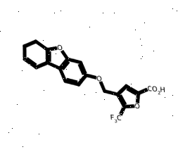 O=C(O)c1cc(COc2ccc3c4c(oc3c2)CCC=C4)c(C(F)(F)F)o1